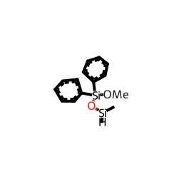 CO[Si](O[SiH](C)C)(c1ccccc1)c1ccccc1